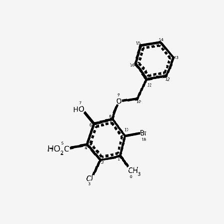 Cc1c(Cl)c(C(=O)O)c(O)c(OCc2ccccc2)c1Br